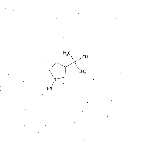 CC(C)(C)C1CCN(S)C1